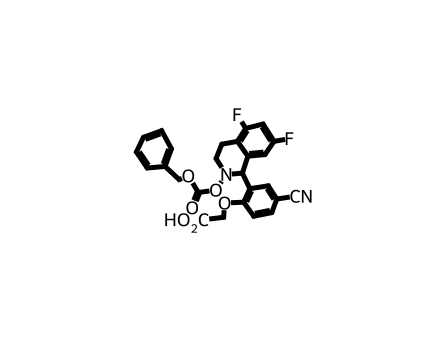 N#Cc1ccc(OCC(=O)O)c(C2c3cc(F)cc(F)c3CCN2OC(=O)OCc2ccccc2)c1